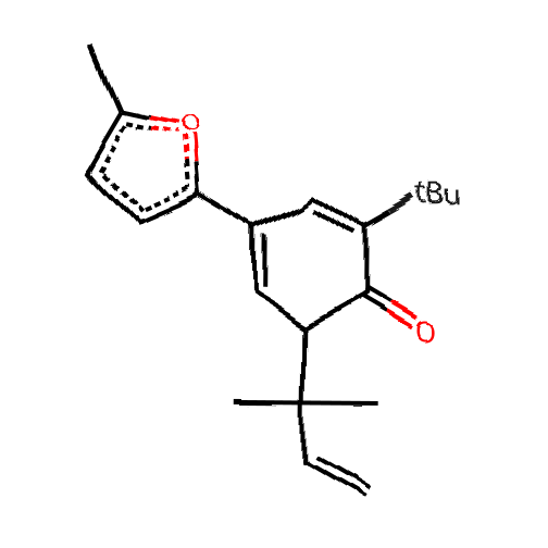 C=CC(C)(C)C1C=C(c2ccc(C)o2)C=C(C(C)(C)C)C1=O